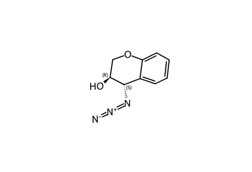 [N-]=[N+]=N[C@H]1c2ccccc2OC[C@@H]1O